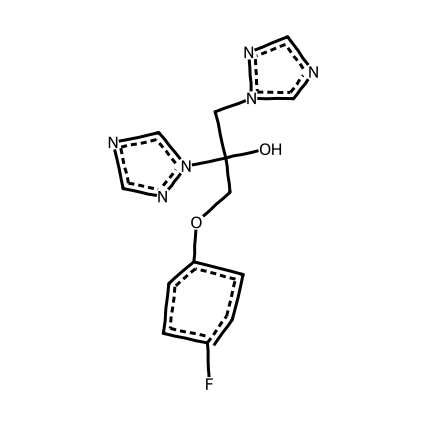 OC(COc1ccc(F)cc1)(Cn1cncn1)n1cncn1